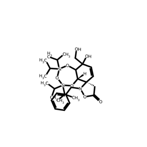 CC(C)[Si]1(C(C)C)OC2[C@@H](O[Si](C(C)C)(C(C)C)O1)[C@]1(C=CC2(O)CO)CC(=O)ON1Cc1ccccc1